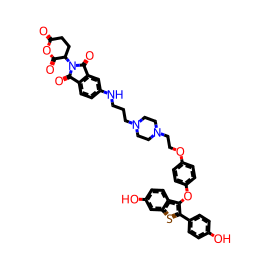 O=C1CCC(N2C(=O)c3ccc(NCCCN4CCN(CCOc5ccc(Oc6c(-c7ccc(O)cc7)sc7cc(O)ccc67)cc5)CC4)cc3C2=O)C(=O)O1